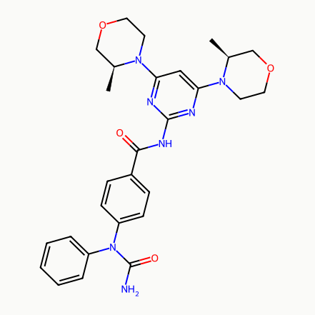 C[C@H]1COCCN1c1cc(N2CCOC[C@@H]2C)nc(NC(=O)c2ccc(N(C(N)=O)c3ccccc3)cc2)n1